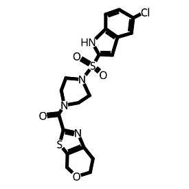 O=C(c1nc2c(s1)COCC2)N1CCN(S(=O)(=O)c2cc3cc(Cl)ccc3[nH]2)CC1